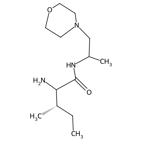 CC[C@H](C)C(N)C(=O)NC(C)CN1CCOCC1